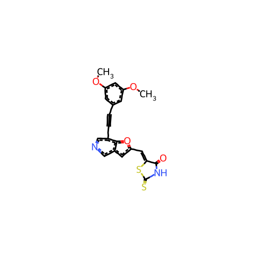 COc1cc(C#Cc2cncc3cc(/C=C4\SC(=S)NC4=O)oc23)cc(OC)c1